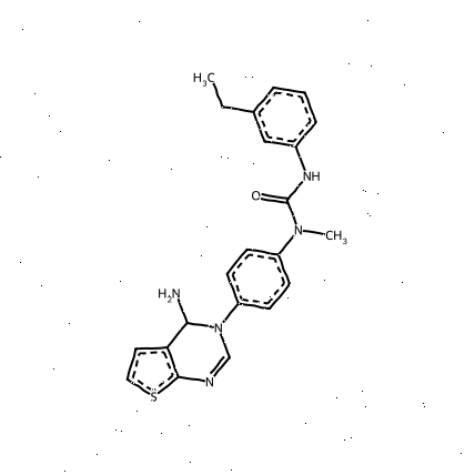 CCc1cccc(NC(=O)N(C)c2ccc(N3C=Nc4sccc4C3N)cc2)c1